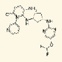 Nc1ccc(=O)n(-c2cccnc2)c1N[C@H]1CC[C@H](Nc2ncc(OC(F)F)cn2)C1